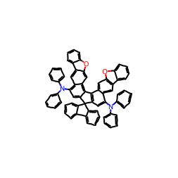 c1ccc(N(c2ccccc2)c2cc3c(c4cc5oc6ccccc6c5cc24)-c2c(cc(N(c4ccccc4)c4ccccc4)c4cc5c(cc24)oc2ccccc25)C32c3ccccc3-c3ccccc32)cc1